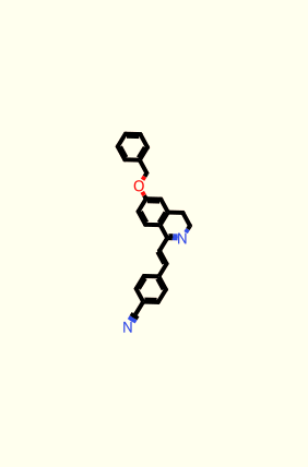 N#Cc1ccc(C=CC2=NCCc3cc(OCc4ccccc4)ccc32)cc1